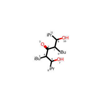 CCC(C)C(C(=O)C(C(C)CC)C(O)C(C)C)C(O)C(C)C